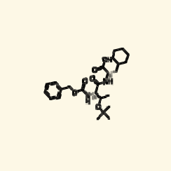 CC(OC(C)(C)C)[C@H](NC(=O)OCc1ccccc1)C(=O)N[C@@H](CC1CCCCC1)C(=O)O